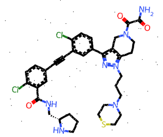 NC(=O)C(=O)N1CCc2c(c(-c3ccc(Cl)c(C#Cc4ccc(Cl)c(C(=O)NC[C@@H]5CCCN5)c4)c3)nn2CCCN2CCSCC2)C1